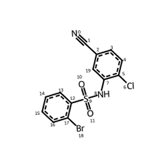 N#Cc1ccc(Cl)c(NS(=O)(=O)c2ccccc2Br)c1